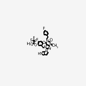 Cn1c(=O)n(CCc2ccc(F)cc2)c(=O)c2c1nc(N1CCC3CNCC31)n2Cc1ccc(F)cc1.O=C(O)C(F)(F)F